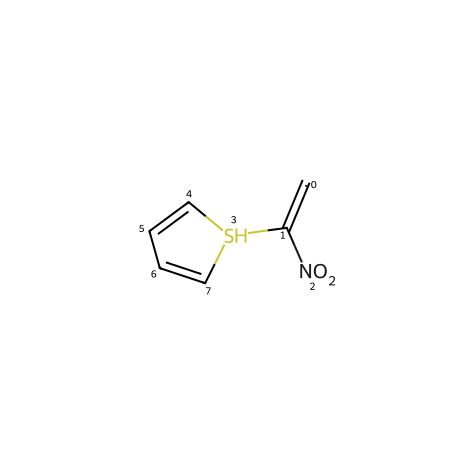 [CH]=C([N+](=O)[O-])[SH]1C=CC=C1